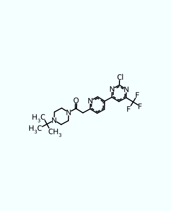 CC(C)(C)N1CCN(C(=O)Cc2ccc(-c3cc(C(F)(F)F)nc(Cl)n3)cn2)CC1